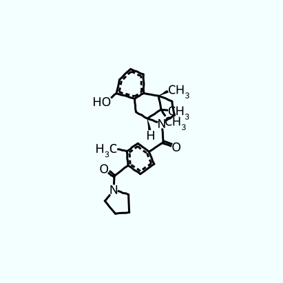 Cc1cc(C(=O)N2CC[C@@]3(C)c4cccc(O)c4C[C@@H]2C3(C)C)ccc1C(=O)N1CCCC1